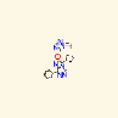 CCn1ncnc1COc1nc2c(-c3ccccc3)nnc(C)n2c1C1CCCC1